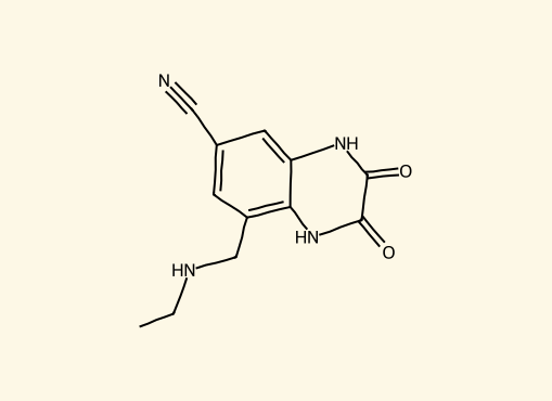 CCNCc1cc(C#N)cc2[nH]c(=O)c(=O)[nH]c12